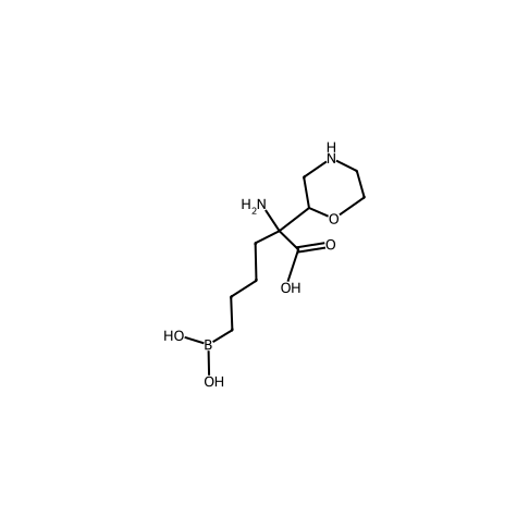 NC(CCCCB(O)O)(C(=O)O)C1CNCCO1